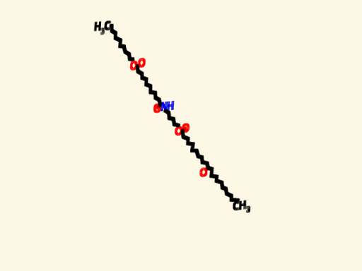 CCCCCCCCCCCCOC(=O)CCCCCCCCCCC(=O)NCCCCCCOC(=O)CCCCCCCCCCC(=O)CCCCCCCCCCCC